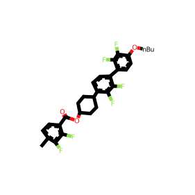 CCCCOc1ccc(-c2ccc(C3CCC(OC(=O)c4ccc(C)c(F)c4F)CC3)c(F)c2F)c(F)c1F